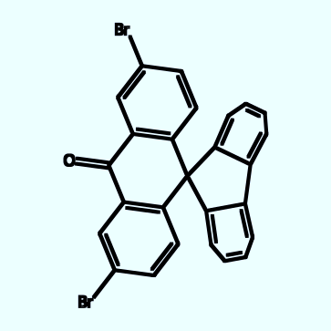 O=C1c2cc(Br)ccc2C2(c3ccc(Br)cc31)c1ccccc1-c1ccccc12